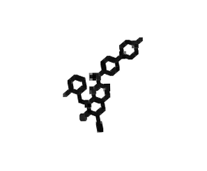 C#Cc1cc2cnc(Nc3ccc(N4CCN(C)CC4)cc3)nc2n(Cc2ccccc2C)c1=O